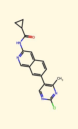 Cc1nc(Cl)ncc1-c1ccc2cc(NC(=O)C3CC3)ncc2c1